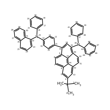 CC(C)(C)c1cc2ccc3c(-c4ccc(N(c5ccccc5)c5cccc6ccccc56)cc4)cc(N(c4ccccc4)c4ccccc4)c4ccc(c1)c2c34